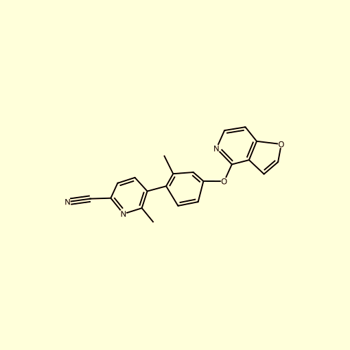 Cc1cc(Oc2nccc3occc23)ccc1-c1ccc(C#N)nc1C